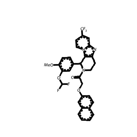 COc1ccc(C2c3c(nc4cc(C(F)(F)F)ccn34)CCN2C(=O)COc2ccc3ccccc3c2)cc1OC(F)F